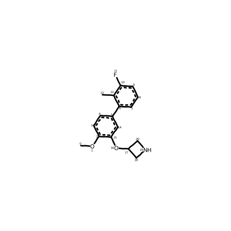 COc1ccc(-c2cccc(F)c2C)cc1OC1CNC1